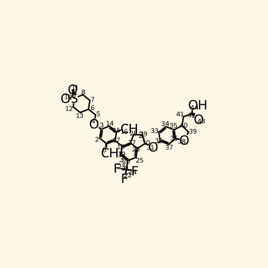 Cc1cc(OCC2CCS(=O)(=O)CC2)cc(C)c1-c1cc(C(F)(F)F)cc2c1CCC2Oc1ccc2c(c1)OCC2CC(=O)O